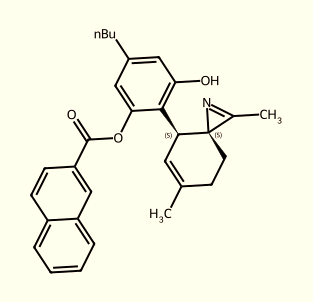 CCCCc1cc(O)c([C@@H]2C=C(C)CC[C@]23N=C3C)c(OC(=O)c2ccc3ccccc3c2)c1